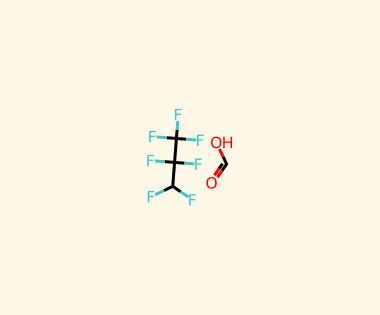 FC(F)C(F)(F)C(F)(F)F.O=CO